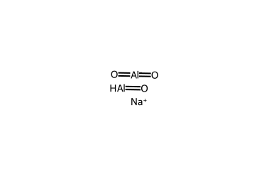 [Na+].[O]=[Al-]=[O].[O]=[AlH]